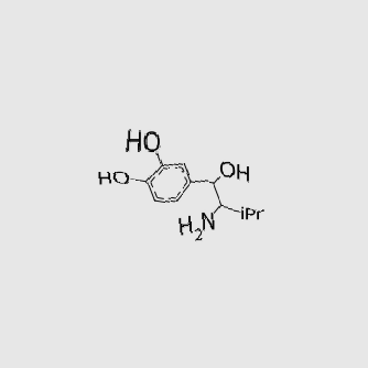 CC(C)C(N)C(O)c1ccc(O)c(O)c1